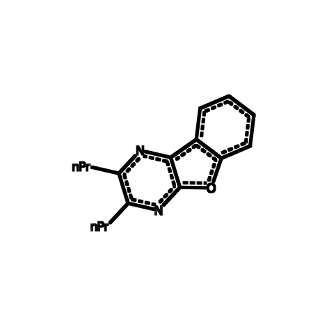 CCCc1nc2oc3ccccc3c2nc1CCC